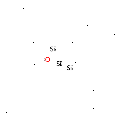 [O].[Si].[Si].[Si]